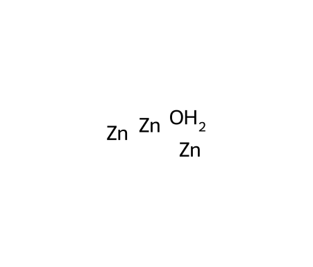 O.[Zn].[Zn].[Zn]